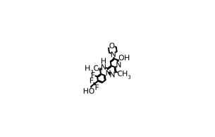 Cc1nnc(N[C@H](C)c2cccc(C(F)(F)CO)c2F)c2cc(N3CCOCC3)c(O)nc12